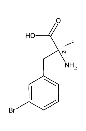 C[C@](N)(Cc1cccc(Br)c1)C(=O)O